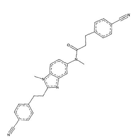 CN(C(=O)CCc1ccc(C#N)cc1)c1ccc2c(c1)nc(CCc1ccc(C#N)cc1)n2C